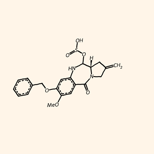 C=C1C[C@H]2C(OS(=O)O)Nc3cc(OCc4ccccc4)c(OC)cc3C(=O)N2C1